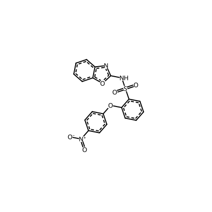 O=[N+]([O-])c1ccc(Oc2ccccc2S(=O)(=O)Nc2nc3ccccc3o2)cc1